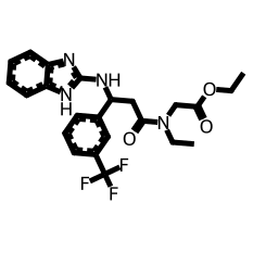 CCOC(=O)CN(CC)C(=O)CC(Nc1nc2ccccc2[nH]1)c1cccc(C(F)(F)F)c1